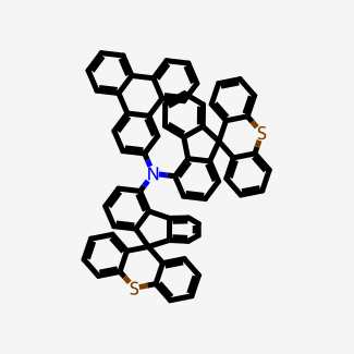 c1ccc2c(c1)Sc1ccccc1C21c2ccccc2-c2c(N(c3ccc4c5ccccc5c5ccccc5c4c3)c3cccc4c3-c3ccccc3C43c4ccccc4Sc4ccccc43)cccc21